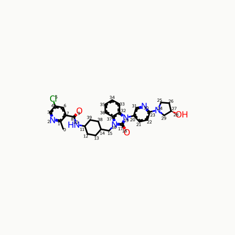 Cc1ncc(Cl)cc1C(=O)NC1CCC(Cn2c(=O)n(-c3ccc(N4CC[C@@H](O)C4)nc3)c3ccccc32)CC1